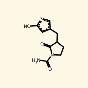 N#Cc1cc(C[C]2CCN(C(N)=O)C2=O)cs1